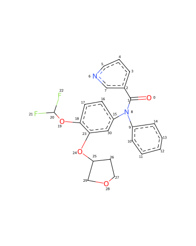 O=C(c1cccnc1)N(c1ccccc1)c1ccc(OC(F)F)c(OC2CCOC2)c1